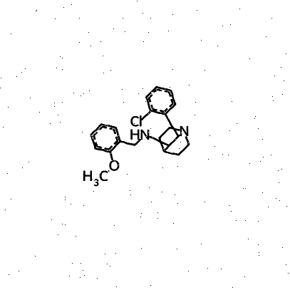 COc1ccccc1CNC1C2CCN(CC2)C1c1ccccc1Cl